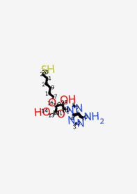 Nc1ncnc2c1ncn2[C@@H]1O[C@H](CO)C(OCCCCCCS)C1O